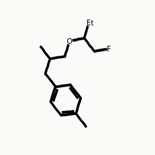 CCC(CF)OCC(C)Cc1ccc(C)cc1